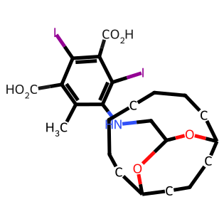 Cc1c(NCC2OC3CCCCCCCC(CCC3)O2)c(I)c(C(=O)O)c(I)c1C(=O)O